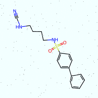 N#CNCCCCNS(=O)(=O)c1ccc(-c2ccccc2)cc1